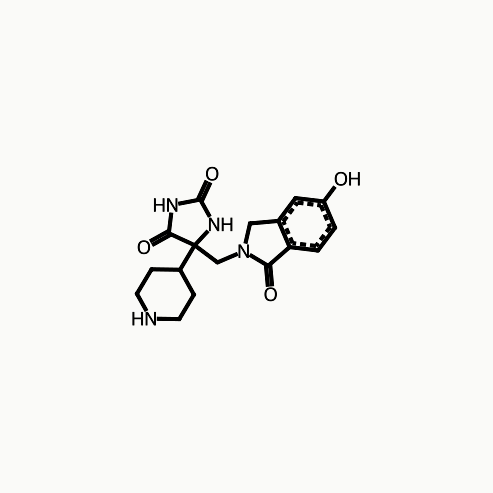 O=C1NC(=O)C(CN2Cc3cc(O)ccc3C2=O)(C2CCNCC2)N1